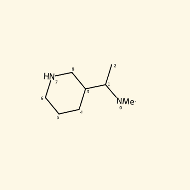 C[N]C(C)C1CCCNC1